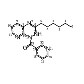 CCCCCCC1=Nc2cccnc2N(C(=O)c2cccnc2)N1